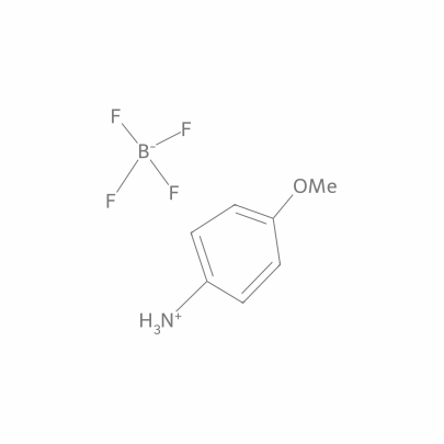 COc1ccc([NH3+])cc1.F[B-](F)(F)F